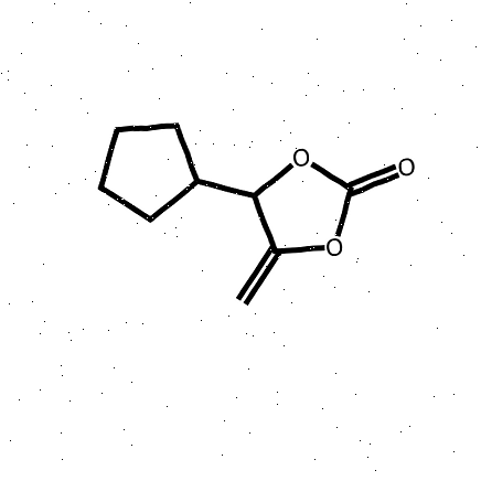 C=C1OC(=O)OC1C1CCCC1